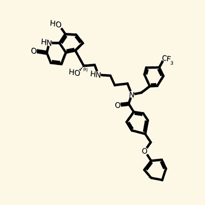 O=C(c1ccc(COC2=C[CH]CC=C2)cc1)N(CCCNC[C@H](O)c1ccc(O)c2[nH]c(=O)ccc12)Cc1ccc(C(F)(F)F)cc1